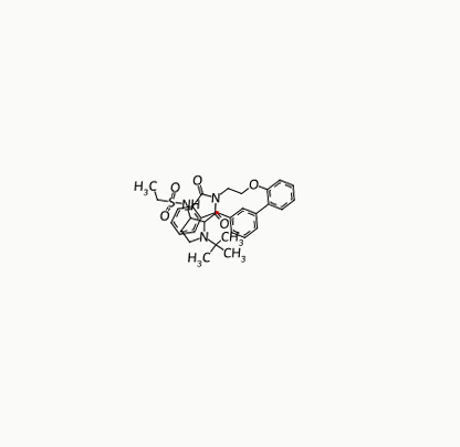 CCS(=O)(=O)NC1CCN(C(C)(C)C)C1Cc1cccc(-c2ccccc2OCCN2C(=O)c3ccccc3C2=O)c1